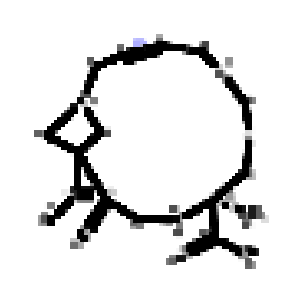 CC(C)NC12CN(C/C=C\CCCCC[C@@](C)(C(=O)C(C)C)NCC1=O)C2